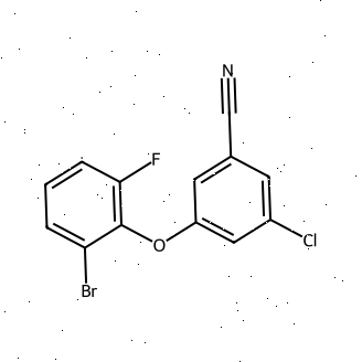 N#Cc1cc(Cl)cc(Oc2c(F)[c]ccc2Br)c1